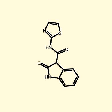 O=C(Nc1nccs1)C1C(=O)Nc2ccccc21